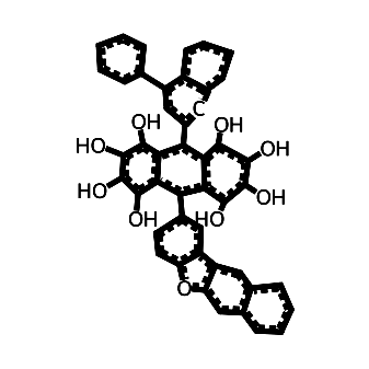 Oc1c(O)c(O)c2c(-c3ccc4oc5cc6ccccc6cc5c4c3)c3c(O)c(O)c(O)c(O)c3c(-c3cc(-c4ccccc4)c4ccccc4c3)c2c1O